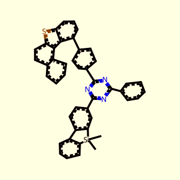 C[Si]1(C)c2ccccc2-c2ccc(-c3nc(-c4ccccc4)nc(-c4ccc(-c5cccc6sc7ccc8ccccc8c7c56)cc4)n3)cc21